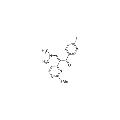 CSc1nccc(/C(=C\N(C)C)C(=O)c2ccc(F)cc2)n1